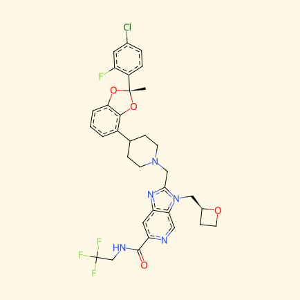 C[C@]1(c2ccc(Cl)cc2F)Oc2cccc(C3CCN(Cc4nc5cc(C(=O)NCC(F)(F)F)ncc5n4C[C@@H]4CCO4)CC3)c2O1